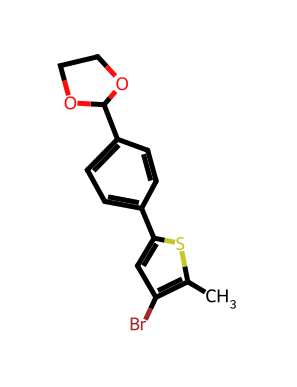 Cc1sc(-c2ccc(C3OCCO3)cc2)cc1Br